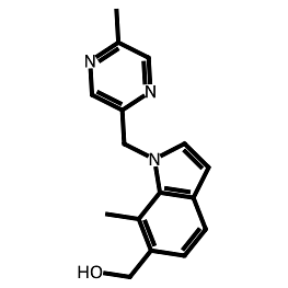 Cc1cnc(Cn2ccc3ccc(CO)c(C)c32)cn1